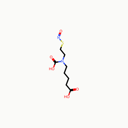 O=NSCCN(CCCCC(=O)O)C(=O)O